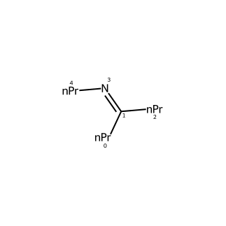 [CH2]CC/C(CCC)=N\CCC